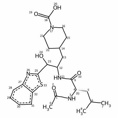 CC(=O)N[C@@H](CC(C)C)C(=O)NC(CC1CCN(C(=O)O)CC1)C(O)c1nc2ccccc2s1